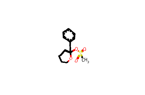 CS(=O)(=O)OC1(c2ccccc2)CCCCO1